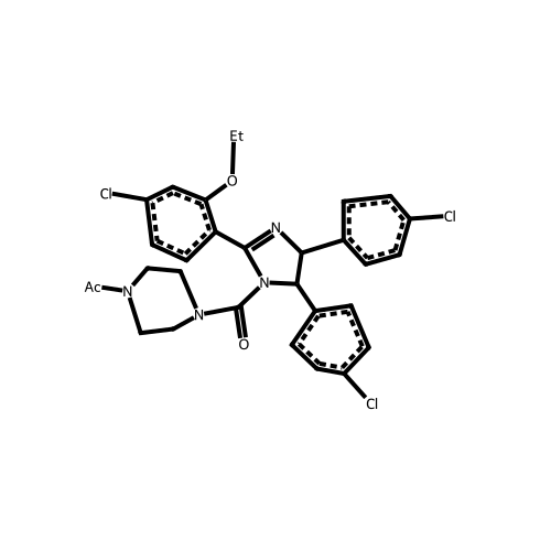 CCOc1cc(Cl)ccc1C1=NC(c2ccc(Cl)cc2)C(c2ccc(Cl)cc2)N1C(=O)N1CCN(C(C)=O)CC1